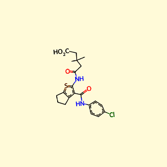 CC(C)(CC(=O)O)CC(=O)Nc1sc2c(c1C(=O)Nc1ccc(Cl)cc1)CCC2